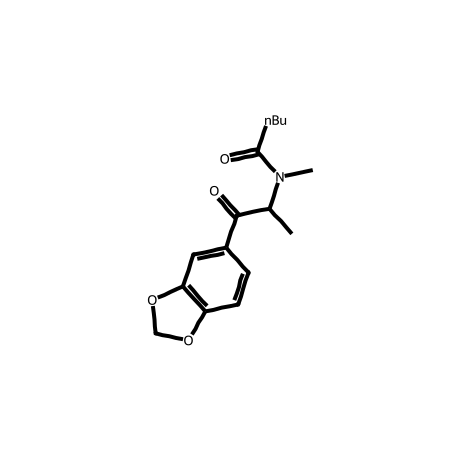 CCCCC(=O)N(C)C(C)C(=O)c1ccc2c(c1)OCO2